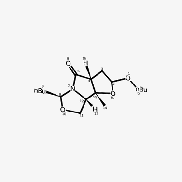 CCCCOC1C[C@H]2C(=O)N3[C@H](CCCC)OC[C@H]3[C@@]2(C)O1